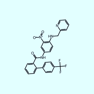 O=C(Nc1ccc(NCc2ccccn2)c([N+](=O)[O-])c1)c1ccccc1-c1ccc(C(F)(F)F)cc1